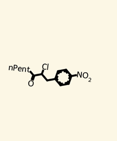 CCCCCC(=O)C(Cl)Cc1ccc([N+](=O)[O-])cc1